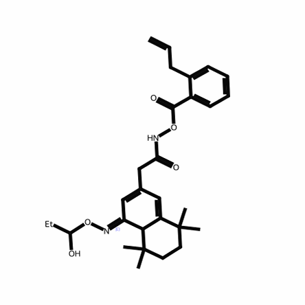 C=CCc1ccccc1C(=O)ONC(=O)CC1=C/C(=N\OC(O)CC)C2C(=C1)C(C)(C)CCC2(C)C